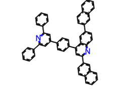 c1ccc(-c2cc(-c3ccc(-c4cc(-c5ccc6ccccc6c5)nc5ccc(-c6ccc7ccccc7c6)cc45)cc3)cc(-c3ccccc3)n2)cc1